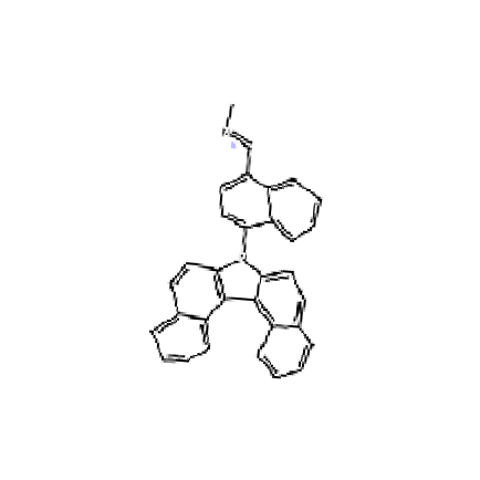 C/N=C/c1ccc(-n2c3ccc4ccccc4c3c3c4ccccc4ccc32)c2ccccc12